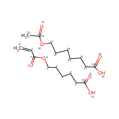 C=CC(=O)OCCCCCC(=O)O.CC(=O)OCCCCCCC(=O)O